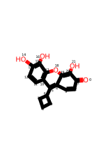 O=c1ccc2c(C3CCC3)c3ccc(O)c(O)c3oc-2c1O